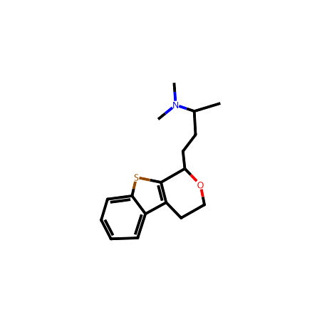 CC(CCC1OCCc2c1sc1ccccc21)N(C)C